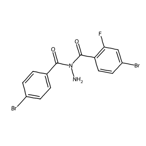 NN(C(=O)c1ccc(Br)cc1)C(=O)c1ccc(Br)cc1F